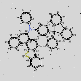 c1ccc(N(c2ccc(C3(c4ccccc4)c4ccccc4-c4ccccc43)cc2)c2cc3ccccc3c3c2ccc2c4ccccc4sc23)cc1